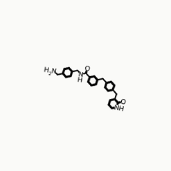 NCc1ccc(CNC(=O)c2cccc(Cc3ccc(Cc4ccc[nH]c4=O)cc3)c2)cc1